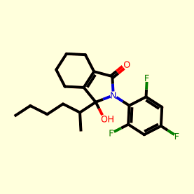 CCCCC(C)C1(O)C2=C(CCCC2)C(=O)N1c1c(F)cc(F)cc1F